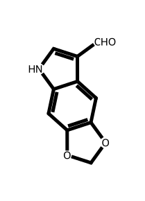 O=Cc1c[nH]c2cc3c(cc12)OCO3